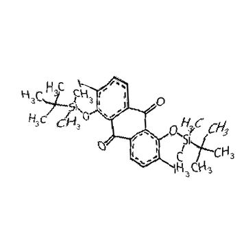 CC(C)(C)[Si](C)(C)Oc1c(I)ccc2c1C(=O)c1ccc(I)c(O[Si](C)(C)C(C)(C)C)c1C2=O